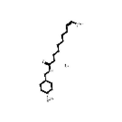 CCCCCCCC/C=C\CCCCCCCC(=O)NC[C@H]1CC[C@H](C(=O)[O-])CC1.[Na+]